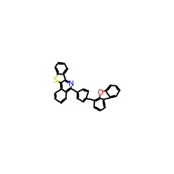 c1ccc2c(c1)oc1c(-c3ccc(-c4nc5c6ccccc6sc5c5ccccc45)cc3)cccc12